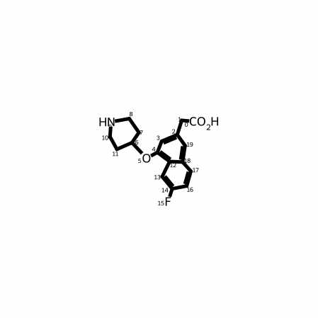 O=C(O)Cc1cc(OC2CCNCC2)c2cc(F)ccc2c1